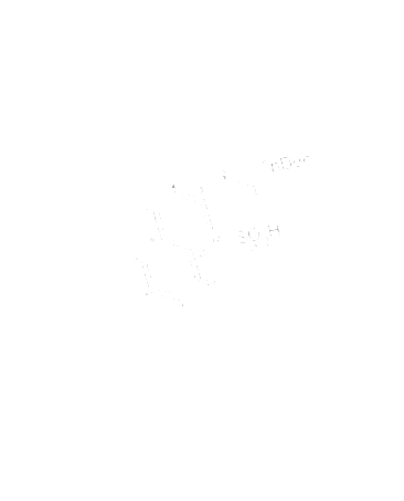 CCCCCCCCCCCCc1ccc2ccccc2c1S(=O)(=O)O